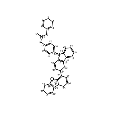 CN(CC1=CCCC=C1)Cc1ccc(-n2c3c(c4ccccc42)CC(C2=C4OC5=C(C=CCC5)C4CC=C2)C=C3)cc1